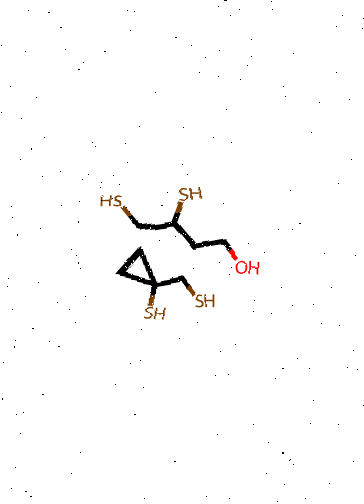 OCCC(S)CS.SCC1(S)CC1